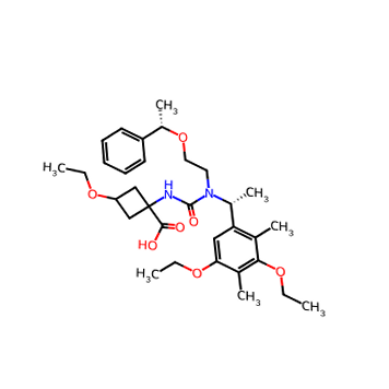 CCOc1cc([C@@H](C)N(CCO[C@@H](C)c2ccccc2)C(=O)NC2(C(=O)O)CC(OCC)C2)c(C)c(OCC)c1C